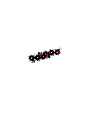 Cc1cccc(-c2ccc3c4ccc5c(ccc6c7ccc(-c8ccccc8C)cc7n(C)c65)c4n(C)c3c2)c1